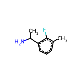 Cc1cccc(C(C)N)c1F